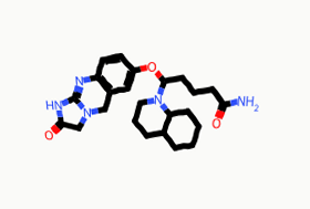 NC(=O)CCCC(Oc1ccc2c(c1)CN1CC(=O)NC1=N2)N1CCCC2CCCCC21